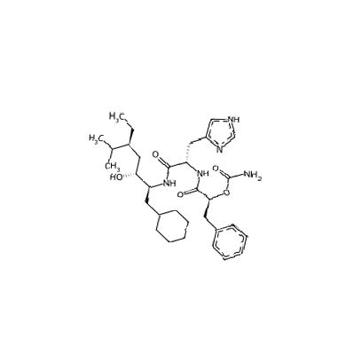 CC[C@@H](C[C@@H](O)[C@H](CC1CCCCC1)NC(=O)[C@H](Cc1c[nH]cn1)NC(=O)[C@H](Cc1ccccc1)OC(N)=O)C(C)C